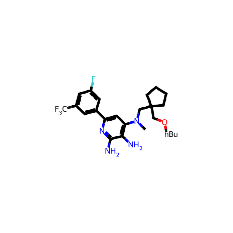 CCCCOCC1(CN(C)c2cc(-c3cc(F)cc(C(F)(F)F)c3)nc(N)c2N)CCCC1